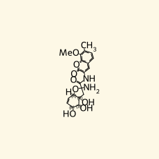 COc1c(C)ccc2cc(NC(=O)C3(N)C[C@]4(O)[C@@H](C=C[C@@H](O)[C@@H]4O)O3)c(=O)oc12